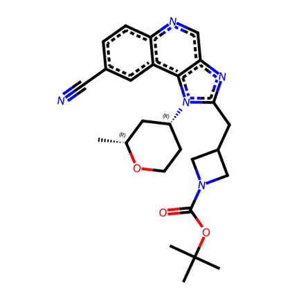 C[C@@H]1C[C@H](n2c(CC3CN(C(=O)OC(C)(C)C)C3)nc3cnc4ccc(C#N)cc4c32)CCO1